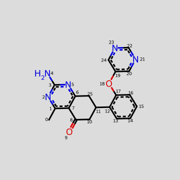 Cc1nc(N)nc2c1C(=O)CC(c1ccccc1Oc1cncnc1)C2